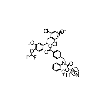 COc1cc(C(Cc2c(Cl)c[n+]([O-])cc2Cl)OC(=O)c2ccc(CN(C(=O)O[C@H]3CN4CCC3CC4)c3ccccc3OC)cc2)ccc1OC(F)F